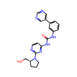 O=C(Nc1cccc(-c2cncnc2)c1)Nc1ccnc(N2CCC[C@H]2CO)n1